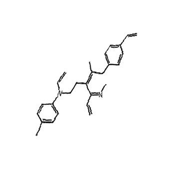 C=CC(=N/C)/C(CCN(C=C)c1ccc(C)cc1)=C(/C)Cc1ccc(C=C)cc1